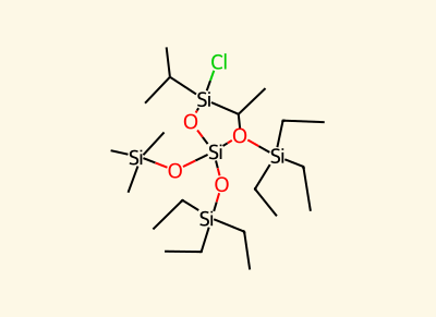 CC[Si](CC)(CC)O[Si](O[Si](C)(C)C)(O[Si](CC)(CC)CC)O[Si](Cl)(C(C)C)C(C)C